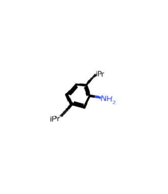 CC(C)c1ccc(C(C)C)c(N)c1